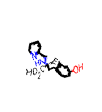 CC[C@@](Cc1ccc(O)cc1)(NCc1ccccn1)C(=O)O